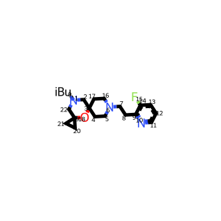 CCC(C)N1CC2(CCN(CCc3ncccc3F)CC2)OC2(CC2)C1